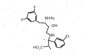 CCc1cccc([C@](C)(NC[C@@H](O)[C@H](Cc2cc(F)cc(F)c2)NC(C)=O)C(C)C(=O)O)c1